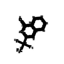 O=c1oc(C(F)(F)C(F)(F)F)nc2ccccc12